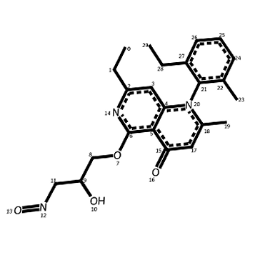 CCc1cc2c(c(OCC(O)CN=O)n1)c(=O)cc(C)n2-c1c(C)cccc1CC